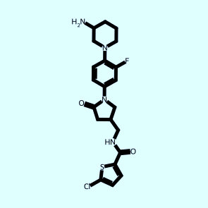 NC1CCCN(c2ccc(N3CC(CNC(=O)c4ccc(Cl)s4)CC3=O)cc2F)C1